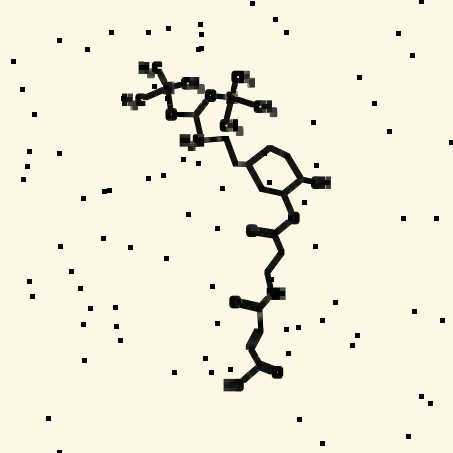 C[Si](C)(C)OC(O[Si](C)(C)C)[SiH2]CCC1CCC(O)C(OC(=O)CCNC(=O)C=CC(=O)O)C1